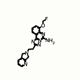 Nc1nc2c(OCF)cccc2c2nc(CCN3Cc4cccnc4C3)nn12